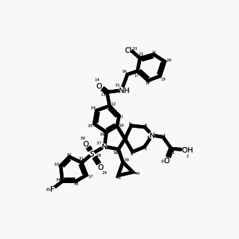 O=C(O)CN1CCC2(CC1)c1cc(C(=O)NCc3ccccc3Cl)ccc1N(S(=O)(=O)c1ccc(F)cc1)C2C1CC1